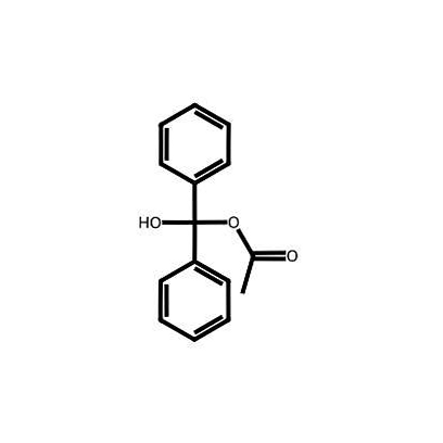 CC(=O)OC(O)(c1ccccc1)c1ccccc1